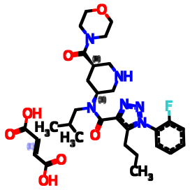 CCCc1c(C(=O)N(CC(C)C)[C@@H]2CNC[C@H](C(=O)N3CCOCC3)C2)nnn1-c1ccccc1F.O=C(O)/C=C/C(=O)O